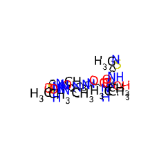 COc1cc(N2CCC(N3CCN(C(=O)CCCC(=O)N[C@H](C(=O)N4C[C@H](O)C[C@H]4C(=O)NCc4ccc(-c5scnc5C)cc4)C(C)(C)C)CC3)CC2)c(C)cc1Nc1ncnc(Nc2ccccc2S(=O)(=O)C(C)C)n1